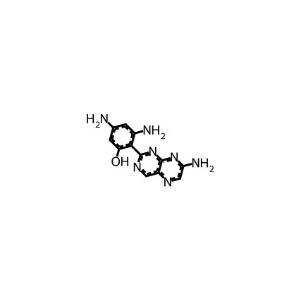 Nc1cc(N)c(-c2ncc3ncc(N)nc3n2)c(O)c1